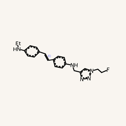 CCNc1ccc(/C=C/c2ccc(NCc3cn(CCF)nn3)cc2)cc1